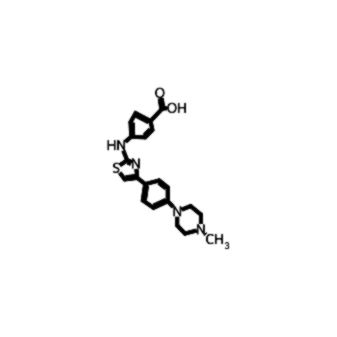 CN1CCN(c2ccc(-c3csc(Nc4ccc(C(=O)O)cc4)n3)cc2)CC1